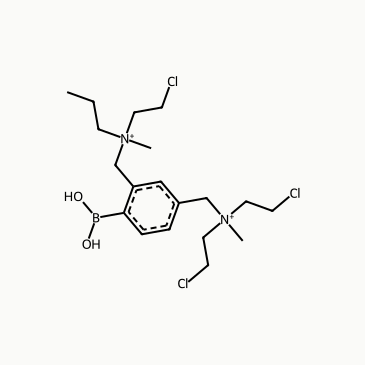 CCC[N+](C)(CCCl)Cc1cc(C[N+](C)(CCCl)CCCl)ccc1B(O)O